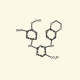 CCOC(=O)c1cnc(Nc2ccc(OC=O)c(NC)c2)nc1Nc1ccc2c(c1)OCCO2